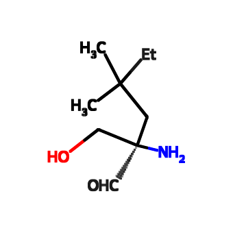 CCC(C)(C)C[C@](N)(C=O)CO